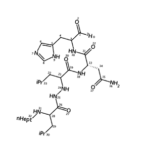 [2H]C(=O)C(Cc1cnc[nH]1)NC(=O)[C@H](CC(N)=O)NC(=O)C(CC(C)C)NNC(=O)C(CC(C)C)NCCCCCCC